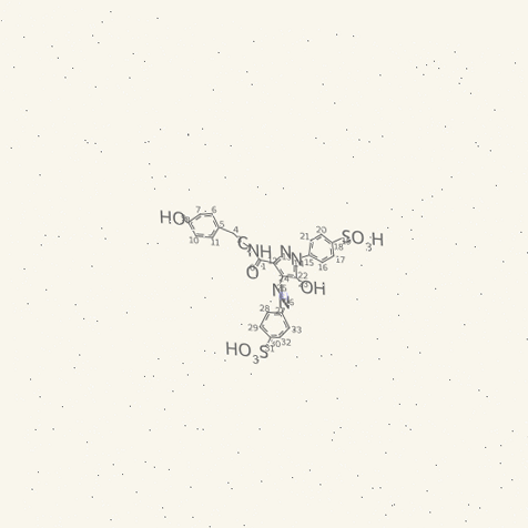 O=C(NCCc1ccc(O)cc1)c1nn(-c2ccc(S(=O)(=O)O)cc2)c(O)c1/N=N/c1ccc(S(=O)(=O)O)cc1